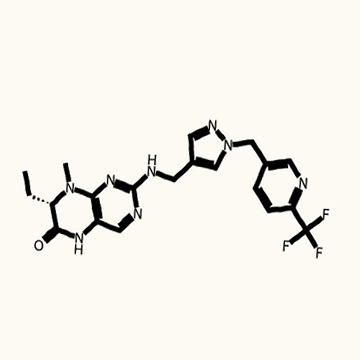 CC[C@H]1C(=O)Nc2cnc(NCc3cnn(Cc4ccc(C(F)(F)F)nc4)c3)nc2N1C